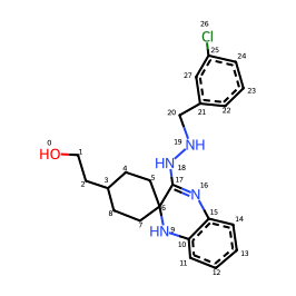 OCCC1CCC2(CC1)Nc1ccccc1N=C2NNCc1cccc(Cl)c1